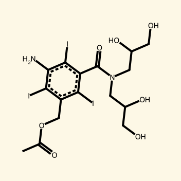 CC(=O)OCc1c(I)c(N)c(I)c(C(=O)N(CC(O)CO)CC(O)CO)c1I